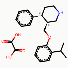 CC(C)c1ccccc1OC[C@@H]1CNCC[C@H]1c1ccccc1.O=C(O)C(=O)O